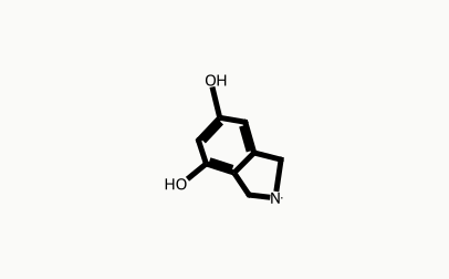 Oc1cc(O)c2c(c1)C[N]C2